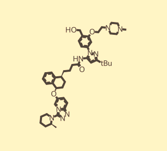 C[C@H]1CCCCN1c1nnc2ccc(O[C@@H]3CC[C@H](CCCC(=O)Nc4cc(C(C)(C)C)nn4-c4ccc(CO)c(OCCN5CCN(C)CC5)c4)c4ccccc43)cn12